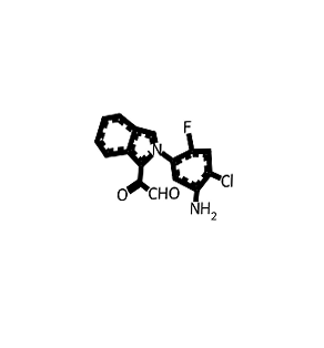 Nc1cc(-n2cc3ccccc3c2C(=O)C=O)c(F)cc1Cl